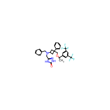 C[C@@H](OCC1(c2ccccc2)CC(N(Cc2ccccc2)Cc2n[nH]c(=O)[nH]2)C1)c1cc(C(F)(F)F)cc(C(F)(F)F)c1